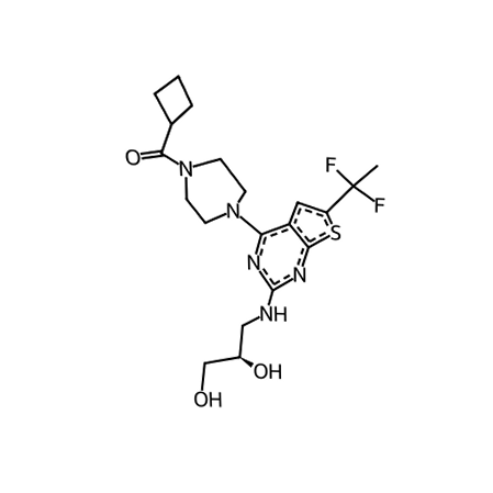 CC(F)(F)c1cc2c(N3CCN(C(=O)C4CCC4)CC3)nc(NC[C@@H](O)CO)nc2s1